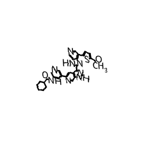 CC(=O)c1ccc(-c2cncc3[nH]c(-c4n[nH]c5cnc(-c6cncc(NC(=O)C7CCCCC7)c6)cc45)nc23)s1